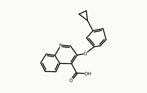 O=C(O)c1c(Oc2cccc(C3CC3)c2)cnc2ccccc12